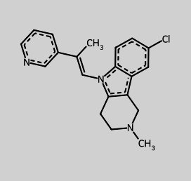 CC(=Cn1c2c(c3cc(Cl)ccc31)CN(C)CC2)c1cccnc1